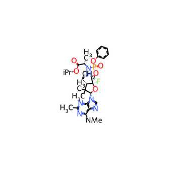 C=C[C@H]1C(C)(C)[C@H](n2cnc3c(NC)nc(C)nc32)O[C@]1(F)COP(=O)(N[C@@H](C)C(=O)OC(C)C)Oc1ccccc1